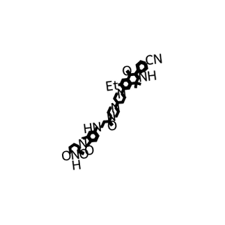 CCc1cc2c(cc1N1CCC(N3CCN(C(=O)CCNc4ccc5c(c4)CN(C4CCC(=O)NC4=O)C5=O)CC3)CC1)C(C)(C)c1[nH]c3cc(C#N)ccc3c1C2=O